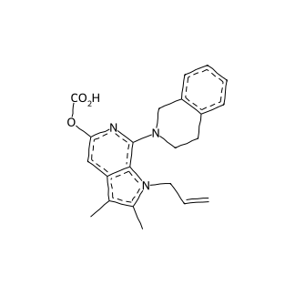 C=CCn1c(C)c(C)c2cc(OC(=O)O)nc(N3CCc4ccccc4C3)c21